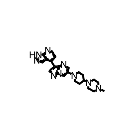 CN1CCN(C2CCN(c3cnc4c(-c5ccnc6[nH]ncc56)cnn4c3)CC2)CC1